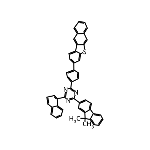 CC1(C)c2ccccc2-c2ccc(-c3nc(-c4ccc(-c5ccc6c(c5)sc5cc7ccccc7cc56)cc4)nc(-c4cccc5ccccc45)n3)cc21